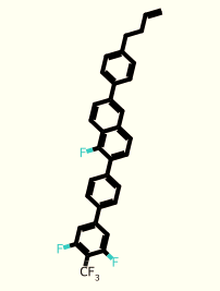 C=CCCc1ccc(-c2ccc3c(F)c(-c4ccc(-c5cc(F)c(C(F)(F)F)c(F)c5)cc4)ccc3c2)cc1